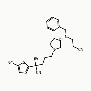 CC(C)C(C#N)(CCCN1CC[C@H](N(CCC#N)Cc2ccccc2)C1)c1ccc(C#N)s1